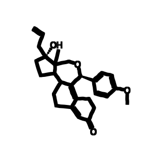 C=CC[C@]1(O)CCC2C3CCC4=CC(=O)CCC4=C3[C@H](c3ccc(OC)cc3)OCC21C